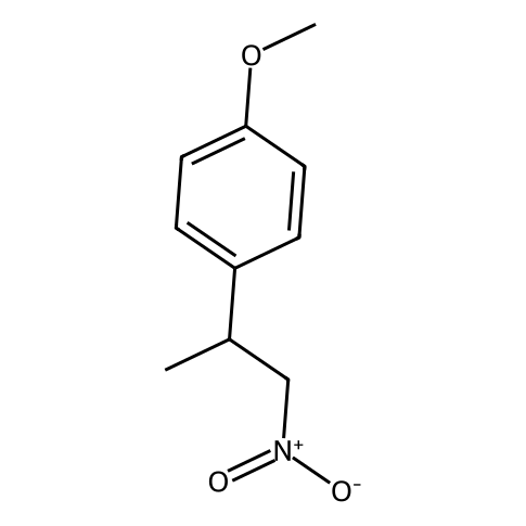 COc1ccc(C(C)C[N+](=O)[O-])cc1